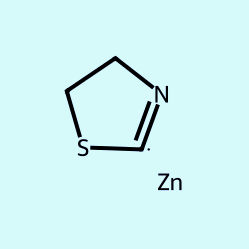 [C]1=NCCS1.[Zn]